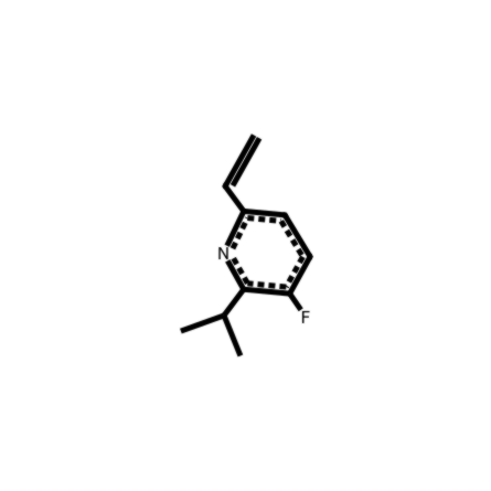 C=Cc1ccc(F)c(C(C)C)n1